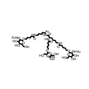 CC(=O)NC1C(OCCCCC(=O)NCCCCC(NC(=O)C(CCCCNC(=O)CCCCOC2OC(CO)C(O)C(O)C2NC(C)=O)NC(=O)CCCCOC(OC(CO)[C@@H](C)O)[C@H](CO)NC(C)=O)C(C)=O)OC(CO)C(O)C1O